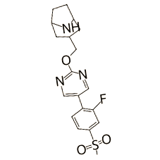 CS(=O)(=O)c1ccc(-c2cnc(OCC3CC4CCC(C3)N4)nc2)c(F)c1